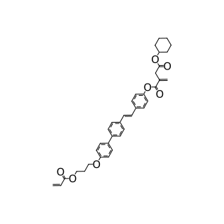 C=CC(=O)OCCCOc1ccc(-c2ccc(/C=C/c3ccc(OC(=O)C(=C)CC(=O)OC4CCCCC4)cc3)cc2)cc1